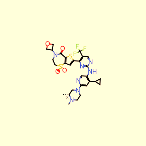 C[C@@H]1CN(c2cc(C3CC3)c(Nc3ncc(C(F)(F)F)c(-c4cc5c(s4)C(=O)N(C4COC4)CCS5(=O)=O)n3)cn2)CCN1C